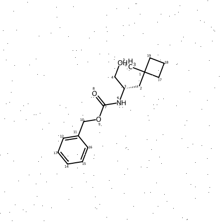 CC1(C[C@@H](CO)NC(=O)OCc2ccccc2)CCC1